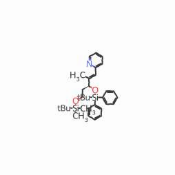 C/C(=C\c1ccccn1)[C@H](CCO[Si](C)(C)C(C)(C)C)O[Si](c1ccccc1)(c1ccccc1)C(C)(C)C